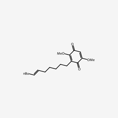 CCCCC=CCCCCCC1=C(OC)C(=O)C=C(OC)C1=O